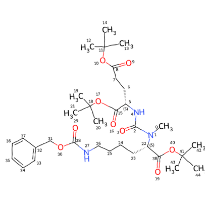 CN(C(=O)N[C@@H](CCC(=O)OC(C)(C)C)C(=O)OC(C)(C)C)[C@@H](CCCCNC(=O)OCc1ccccc1)C(=O)OC(C)(C)C